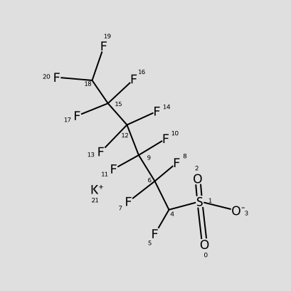 O=S(=O)([O-])C(F)C(F)(F)C(F)(F)C(F)(F)C(F)(F)C(F)F.[K+]